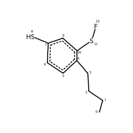 CCCCc1ccc(S)cc1SF